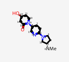 CN[C@H]1CCN(c2ccc(-n3ccc(O)cc3=O)cn2)C1